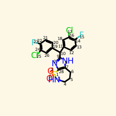 O=S1(=O)NCCCc2[nH]c(C(c3ccc(F)c(Cl)c3)c3ccc(F)c(Cl)c3)nc21